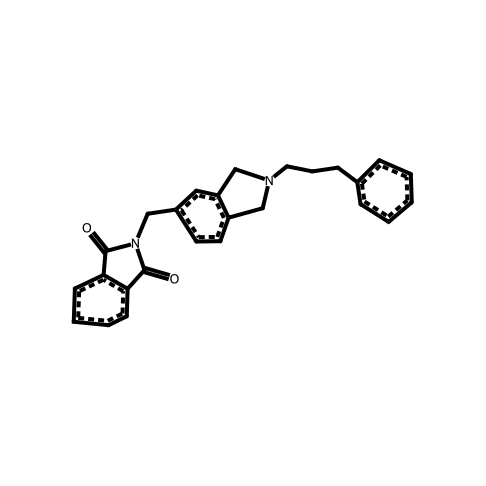 O=C1c2ccccc2C(=O)N1Cc1ccc2c(c1)CN(CCCc1ccccc1)C2